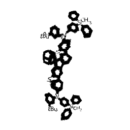 CC(C)(C)c1cccc(N(c2ccc([Si](C)(c3ccccc3)c3ccccc3)cc2)c2ccc3c(c2)sc2cc4c(cc23)-c2ccc3c(sc5cc(N(c6ccc([Si](C)(c7ccccc7)c7ccccc7)cc6)c6cccc(C(C)(C)C)c6)ccc53)c2C42C3CC4CC(C3)CC2C4)c1